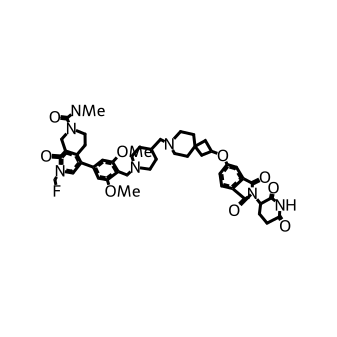 CNC(=O)N1CCc2c(-c3cc(OC)c(CN4CCC(CN5CCC6(CC5)CC(Oc5ccc7c(c5)C(=O)N(C5CCC(=O)NC5=O)C7=O)C6)CC4)c(OC)c3)cn(CF)c(=O)c2C1